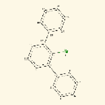 Brc1c(-c2ccccc2)c[c]cc1-c1ccccc1